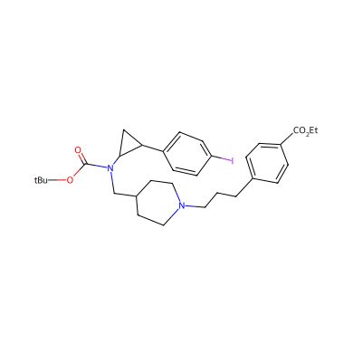 CCOC(=O)c1ccc(CCCN2CCC(CN(C(=O)OC(C)(C)C)C3CC3c3ccc(I)cc3)CC2)cc1